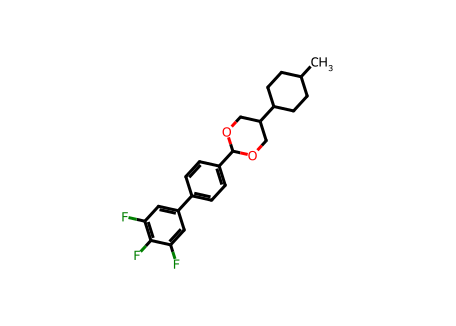 CC1CCC(C2COC(c3ccc(-c4cc(F)c(F)c(F)c4)cc3)OC2)CC1